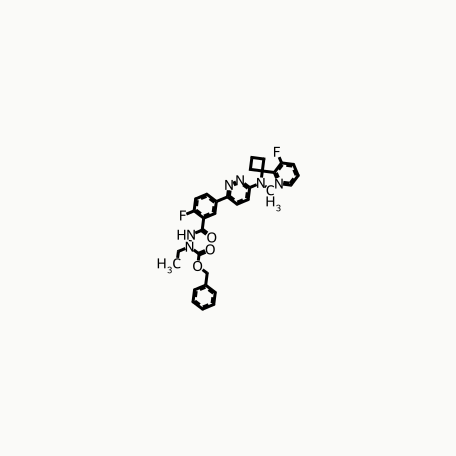 CCN(NC(=O)c1cc(-c2ccc(N(C)C3(c4ncccc4F)CCC3)nn2)ccc1F)C(=O)OCc1ccccc1